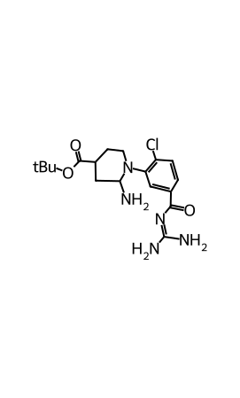 CC(C)(C)OC(=O)C1CCN(c2cc(C(=O)N=C(N)N)ccc2Cl)C(N)C1